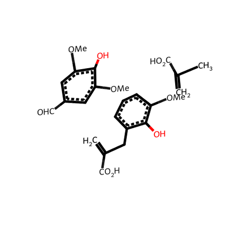 C=C(C)C(=O)O.C=C(Cc1cccc(OC)c1O)C(=O)O.COc1cc(C=O)cc(OC)c1O